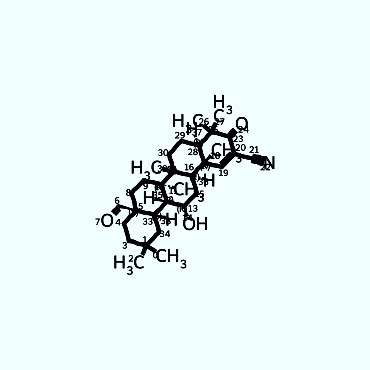 CC1(C)CC[C@]2(C=O)CC[C@]3(C)[C@H]([C@H](O)C[C@@H]4[C@@]5(C)C=C(C#N)C(=O)C(C)(C)[C@@H]5CC[C@]43C)[C@@H]2C1